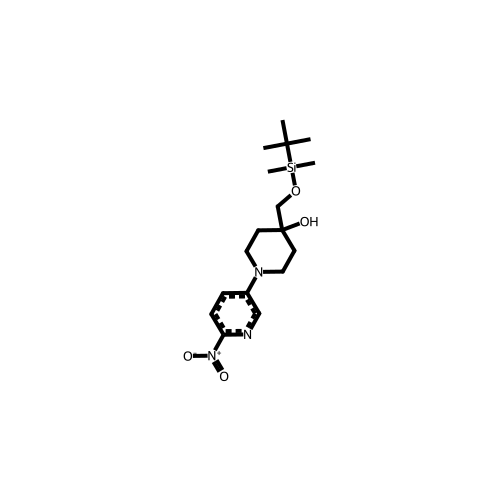 CC(C)(C)[Si](C)(C)OCC1(O)CCN(c2ccc([N+](=O)[O-])nc2)CC1